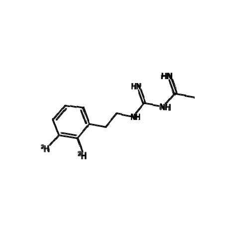 [2H]c1cccc(CCNC(=N)NC(C)=N)c1[2H]